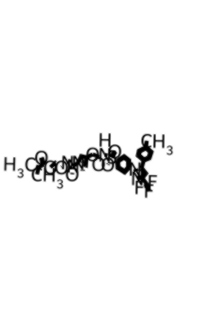 Cc1ccc(-c2cc(C(F)(F)F)nn2-c2ccc(S(=O)(=O)NC(=O)OC3CN([N+]([O-])=NOCOC(=O)C(C)C)C3)cc2)cc1